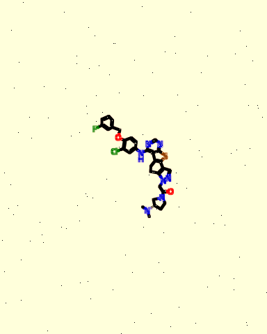 CN(C)[C@H]1CCN(C(=O)Cn2ncc3c2CCc2c-3sc3ncnc(Nc4ccc(OCc5cccc(F)c5)c(Cl)c4)c23)C1